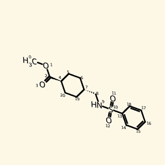 COC(=O)[C@H]1CC[C@H](CNS(=O)(=O)c2ccccc2)CC1